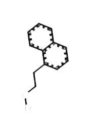 CCOCCc1cc[c]c2ccccc12